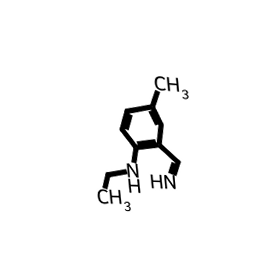 CCNc1ccc(C)cc1C=N